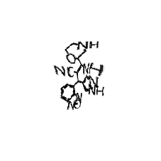 N#CC1=C(C2CNCCO2)Nc2n[nH]cc2C1c1cccc2nonc12